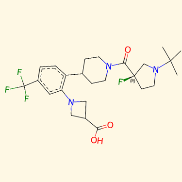 CC(C)(C)N1CC[C@](F)(C(=O)N2CCC(c3ccc(C(F)(F)F)cc3N3CC(C(=O)O)C3)CC2)C1